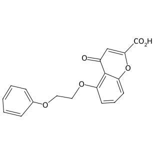 O=C(O)c1cc(=O)c2c(OCCOc3ccccc3)cccc2o1